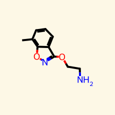 Cc1cccc2c(OCCN)noc12